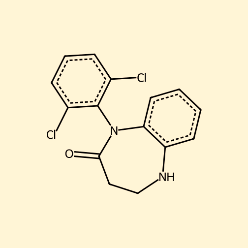 O=C1CCNc2ccccc2N1c1c(Cl)cccc1Cl